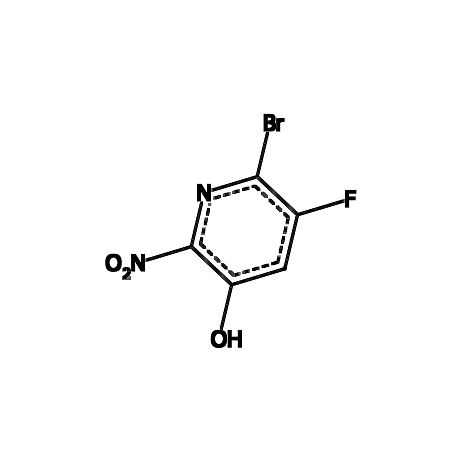 O=[N+]([O-])c1nc(Br)c(F)cc1O